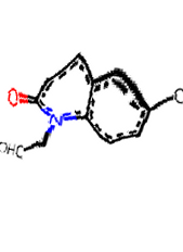 N#Cc1ccc2c(ccc(=O)n2CC=O)c1